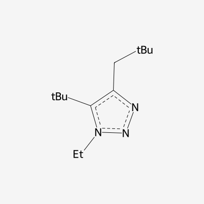 CCn1nnc(CC(C)(C)C)c1C(C)(C)C